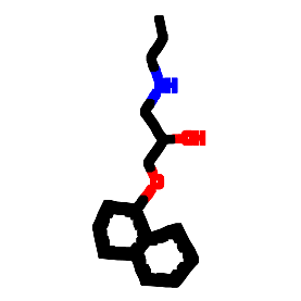 CCCNCC(O)COc1cccc2ccccc12